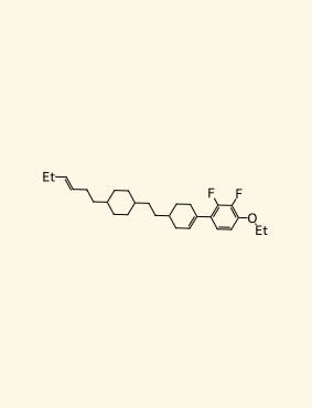 CC/C=C/CCC1CCC(CCC2CC=C(c3ccc(OCC)c(F)c3F)CC2)CC1